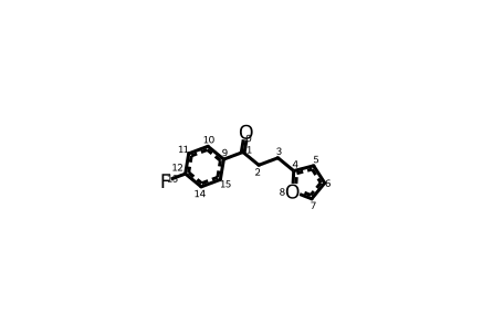 O=C(CCc1ccco1)c1ccc(F)cc1